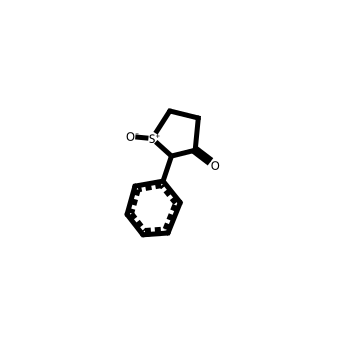 O=C1CC[S+]([O-])C1c1ccccc1